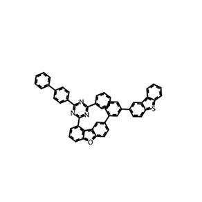 c1ccc(-c2ccc(-c3nc(-c4ccccc4)nc(-c4cccc5oc6ccc(-c7cccc(-c8ccc9sc%10ccccc%10c9c8)c7)cc6c45)n3)cc2)cc1